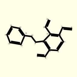 C=Cc1ccc(C=C)c(CCc2ccccc2)c1C=C